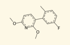 COc1ccc(-c2cc(F)ccc2C)c(OC)n1